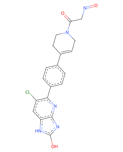 O=NCC(=O)N1CC=C(c2ccc(-c3nc4nc(O)[nH]c4cc3Cl)cc2)CC1